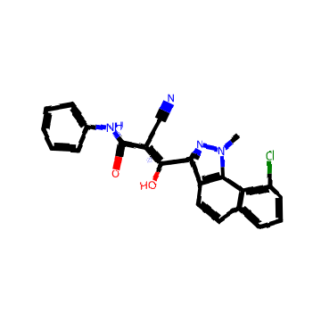 Cn1nc(/C(O)=C(\C#N)C(=O)Nc2ccccc2)c2ccc3cccc(Cl)c3c21